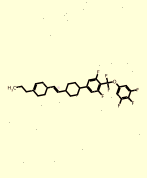 CCCC1=CCC(/C=C/C2CCC(c3cc(F)c(C(F)(F)Oc4cc(F)c(F)c(F)c4)c(F)c3)CC2)CC1